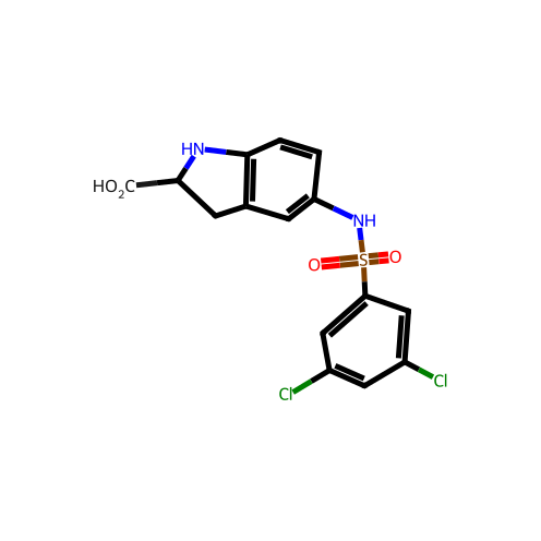 O=C(O)C1Cc2cc(NS(=O)(=O)c3cc(Cl)cc(Cl)c3)ccc2N1